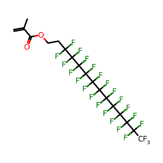 C=C(C)C(=O)OCCC(F)(F)C(F)(F)C(F)(F)C(F)(F)C(F)(F)C(F)(F)C(F)(F)C(F)(F)C(F)(F)C(F)(F)C(F)(F)C(F)(F)F